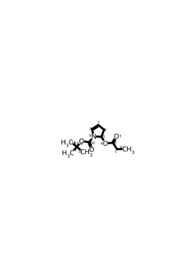 CCC(=O)OC1CC=CN1C(=O)OC(C)(C)C